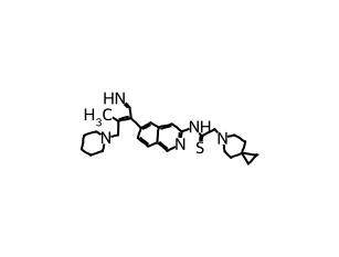 C/C(CN1CCCCC1)=C(\C=N)c1ccc2cnc(NC(=S)CN3CCC4(CC3)CC4)cc2c1